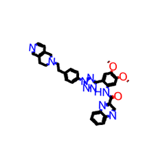 COc1cc(NC(=O)c2cnc3ccccc3n2)c(-c2nnn(-c3ccc(CCN4CCc5cnccc5C4)cc3)n2)cc1OC